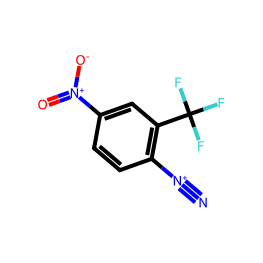 N#[N+]c1ccc([N+](=O)[O-])cc1C(F)(F)F